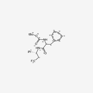 CC(C)[C@@H](CC(F)(F)F)NC(=O)C(Cc1ccccc1)NC(=O)OC(C)(C)C